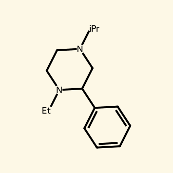 CCN1CCN(C(C)C)CC1c1ccccc1